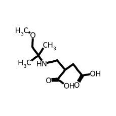 COCC(C)(C)NCC(CC(=O)O)C(=O)O